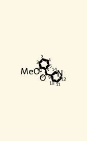 COc1ccccc1C(=O)c1cccnc1